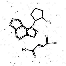 NC1CCCC1n1ncc2ccc3occc3c21.O=C(O)/C=C/C(=O)O